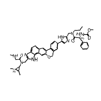 CCCN(Cc1ncc(-c2ccc3c(c2)COc2cc4c(ccc5nc(CN(C(=O)CNC)C6C(C)[C@H]6C)[nH]c54)cc2-3)[nH]1)C(=O)[C@H](NC(=O)OC)c1ccccc1